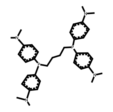 CN(C)c1ccc(P(CCCCP(c2ccc(N(C)C)cc2)c2ccc(N(C)C)cc2)c2ccc(N(C)C)cc2)cc1